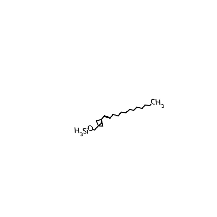 CCCCCCCCCCCC=CC12CC(CO[SiH3])(C1)C2